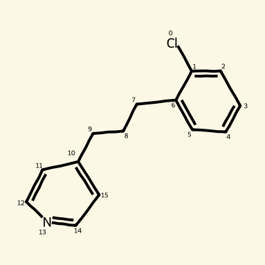 Clc1ccccc1CCCc1ccncc1